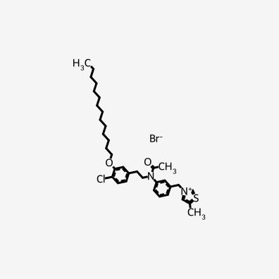 CCCCCCCCCCCCCCOc1cc(CCN(C(C)=O)c2cccc(C[n+]3csc(C)c3)c2)ccc1Cl.[Br-]